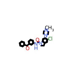 CN1CCN(c2cc3c(cc2Cl)CCN3C(=O)Nc2cccc(C(=O)c3ccccc3)c2)CC1